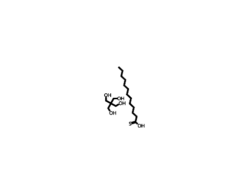 CCCCCCCCCCCCC(O)=S.OCC(CO)(CO)CO